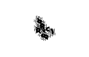 [2H]c1c([2H])c(F)c(F)c(CSc2c([2H])c(=O)c3c([2H])c(C)c([2H])c([2H])c3n2CC(=O)N(C2CCN(CC([2H])([2H])OC([2H])([2H])[2H])CC2)C([2H])([2H])c2c([2H])c([2H])c(-c3c([2H])c([2H])c(C(F)(F)F)c([2H])c3[2H])c([2H])c2[2H])c1[2H]